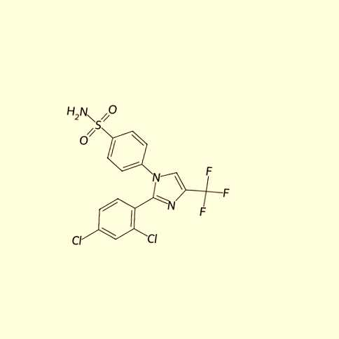 NS(=O)(=O)c1ccc(-n2cc(C(F)(F)F)nc2-c2ccc(Cl)cc2Cl)cc1